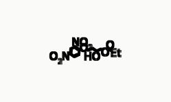 CCC(=O)OCC(O)CCOc1ccc([N+](=O)[O-])cc1[N+](=O)[O-]